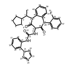 CC(C1CCCC1)N1C(=O)C(NC(=O)Nc2ccccc2-n2ncnn2)C(=O)N(c2ccccc2F)c2ccccc21